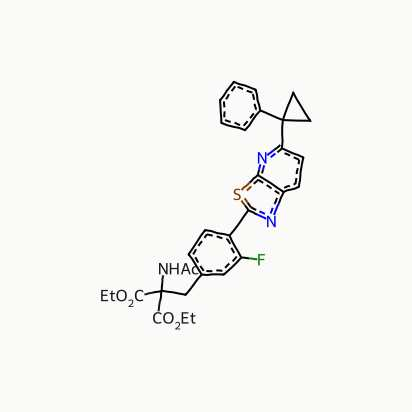 CCOC(=O)C(Cc1ccc(-c2nc3ccc(C4(c5ccccc5)CC4)nc3s2)c(F)c1)(NC(C)=O)C(=O)OCC